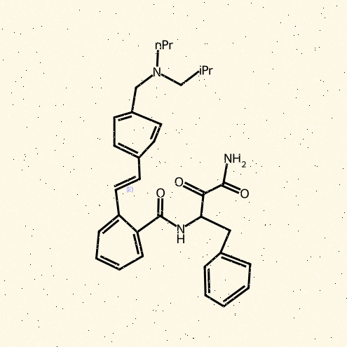 CCCN(Cc1ccc(/C=C/c2ccccc2C(=O)NC(Cc2ccccc2)C(=O)C(N)=O)cc1)CC(C)C